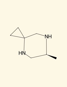 C[C@H]1CNC2(CC2)CN1